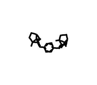 CC12CCC(CC1=Cc1ccc(C=C3CC4CCC3(C)C4(C)C)cc1)C2(C)C